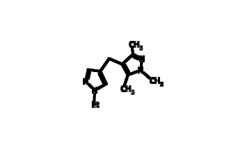 CCn1cc(Cc2c(C)nn(C)c2C)cn1